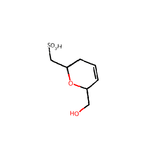 O=S(=O)(O)CC1CC=CC(CO)O1